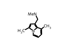 CNCc1cc(C)n2cccc(C)c12